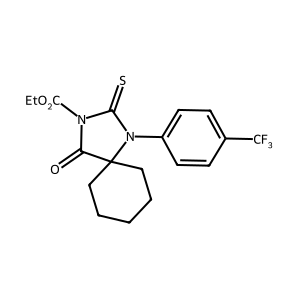 CCOC(=O)N1C(=O)C2(CCCCC2)N(c2ccc(C(F)(F)F)cc2)C1=S